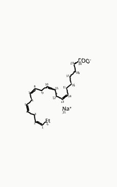 CC/C=C\C/C=C\C/C=C\C/C=C\C/C=C\CCCCCC(=O)[O-].[Na+]